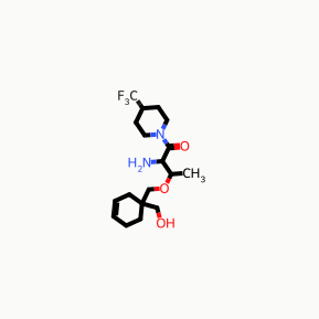 CC(OCC1(CO)CC=CCC1)C(N)C(=O)N1CCC(C(F)(F)F)CC1